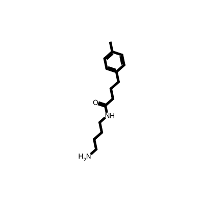 Cc1ccc(CCCC(=O)NCCCCN)cc1